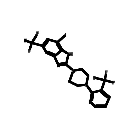 FC(F)(F)c1cc(I)c2[nH]c(N3CCN(c4ncccc4C(F)(F)F)CC3)nc2c1